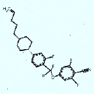 C=CCCC[C@H]1CC[C@H](c2ccc(C(F)(F)Oc3cc(F)c(C#N)c(F)c3)c(F)c2)CC1